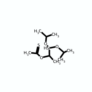 CC(=S)OC(C)[SiH](OC(C)C)OC(C)C